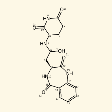 O=C1CCC(NC(O)C[C@@H]2NC(=O)c3ccccc3NC2=O)C(=O)N1